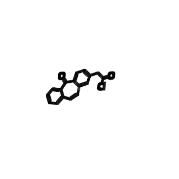 O=C(Cl)Cc1ccc2c(=O)c3ccccc3ccc2c1